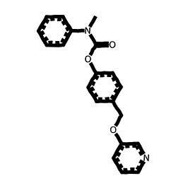 CN(C(=O)Oc1ccc(COc2cccnc2)cc1)c1ccccc1